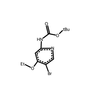 CCOc1cc(NC(=O)OC(C)(C)C)ncc1Br